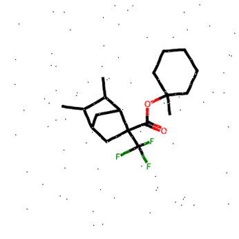 CC1C2CC(C1C)C(C(=O)OC1(C)CCCCC1)(C(F)(F)F)C2